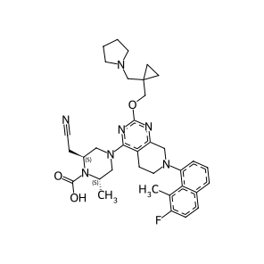 Cc1c(F)ccc2cccc(N3CCc4c(nc(OCC5(CN6CCCC6)CC5)nc4N4C[C@H](CC#N)N(C(=O)O)[C@@H](C)C4)C3)c12